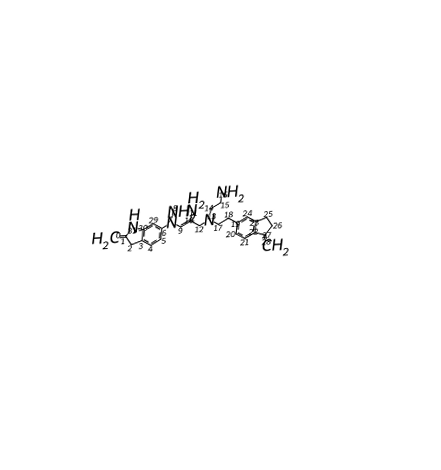 C=C1Cc2ccc(N(N)/C=C(\N)CN(CCN)CCc3ccc4c(c3)CCC4=C)cc2N1